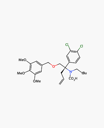 C=CC[C@@](COCc1cc(OC)c(OC)c(OC)c1)(c1ccc(Cl)c(Cl)c1)N(CC(C)(C)C)C(=O)O